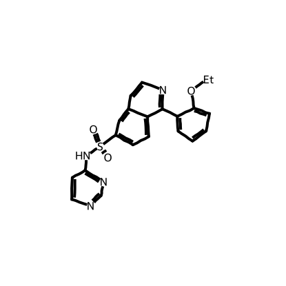 CCOc1ccccc1-c1nccc2cc(S(=O)(=O)Nc3ccncn3)ccc12